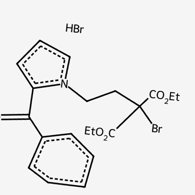 Br.CCOC(=O)C(Br)(CCn1cccc1C(=O)c1ccccc1)C(=O)OCC